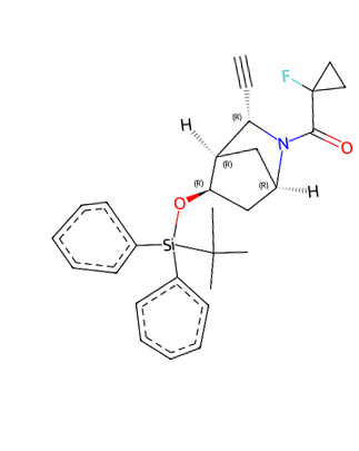 C#C[C@H]1[C@H]2C[C@H](C[C@H]2O[Si](c2ccccc2)(c2ccccc2)C(C)(C)C)N1C(=O)C1(F)CC1